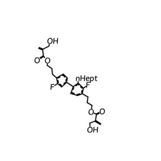 C=C(CO)C(=O)OCCCc1ccc(-c2ccc(CCCOC(=O)C(=C)CO)c(F)c2CCCCCCC)cc1F